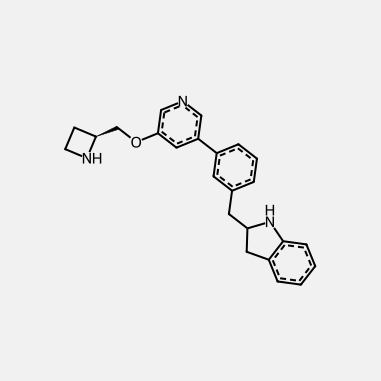 c1cc(CC2Cc3ccccc3N2)cc(-c2cncc(OC[C@@H]3CCN3)c2)c1